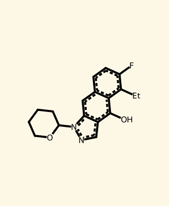 CCc1c(F)ccc2cc3c(cnn3C3CCCCO3)c(O)c12